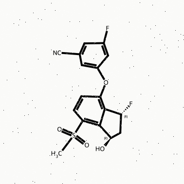 CS(=O)(=O)c1ccc(Oc2cc(F)cc(C#N)c2)c2c1[C@H](O)C[C@H]2F